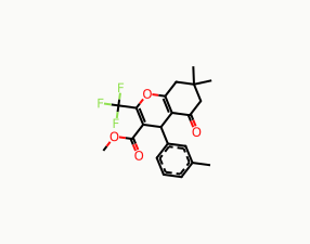 COC(=O)C1=C(C(F)(F)F)OC2=C(C(=O)CC(C)(C)C2)C1c1cccc(C)c1